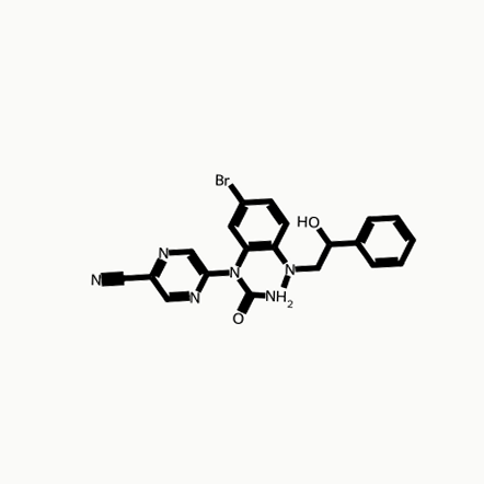 CN(CC(O)c1ccccc1)c1ccc(Br)cc1N(C(N)=O)c1cnc(C#N)cn1